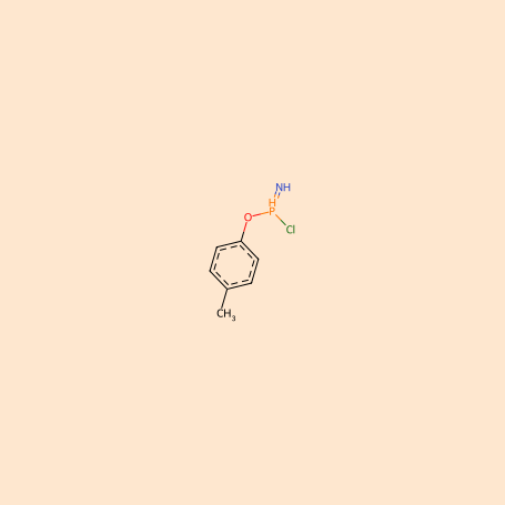 Cc1ccc(O[PH](=N)Cl)cc1